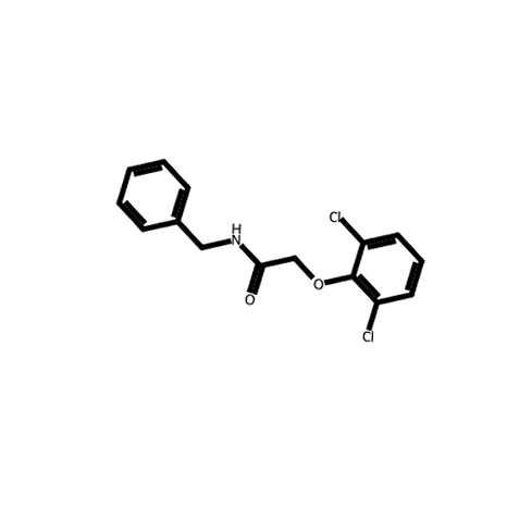 O=C(COc1c(Cl)cccc1Cl)NCc1ccccc1